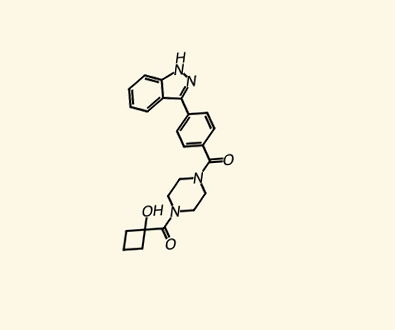 O=C(c1ccc(-c2n[nH]c3ccccc23)cc1)N1CCN(C(=O)C2(O)CCC2)CC1